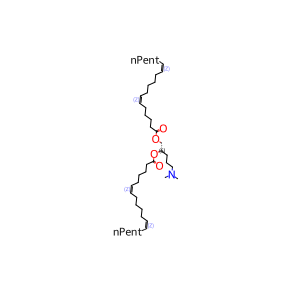 CCCCC/C=C\CCCC/C=C\CCCCC(=O)OC[C@H](CCCN(C)C)OC(=O)CCCC/C=C\CCCC/C=C\CCCCC